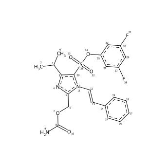 CC(C)c1nc(COC(N)=O)n(C=Cc2ccccc2)c1S(=O)(=O)Oc1cc(F)cc(F)c1